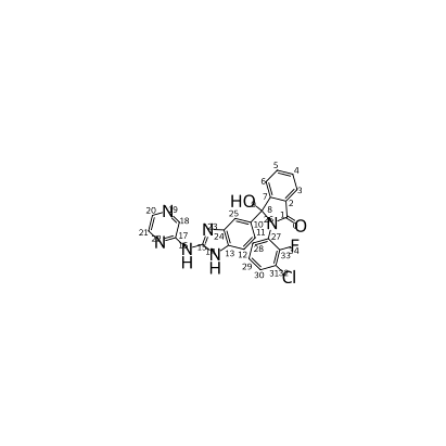 O=C1c2ccccc2C(O)(c2ccc3[nH]c(Nc4cnccn4)nc3c2)N1c1cccc(Cl)c1F